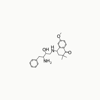 COc1ccc2c(c1)C(NCC(O)C(N)Cc1ccccc1)CC(C)(C)C2=O